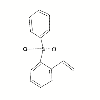 C=Cc1ccccc1[Si](Cl)(Cl)c1ccccc1